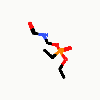 CCOP(=O)(CC)OCNC=O